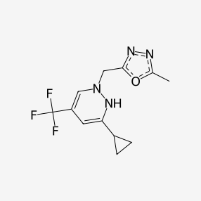 Cc1nnc(CN2C=C(C(F)(F)F)C=C(C3CC3)N2)o1